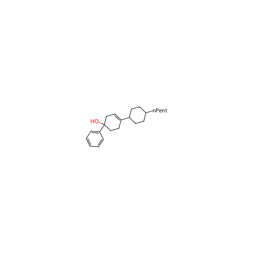 CCCCCC1CCC(C2=CCC(O)(c3ccccc3)CC2)CC1